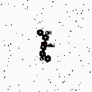 CC(C)(C)C12CC3CC(c4ccc(O)c(-c5ccccc5)c4)(CC(c4ccc(O)c(-c5ccccc5)c4)(C3)C1)C2